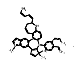 C=Cc1ccc(N2C3=C(C=CC3(C)C)c3cc4c(ccn4C)cc3-c3c2ccc2c3C=CCC(/C=C\C=C/N)N2)cc1/C=C\C